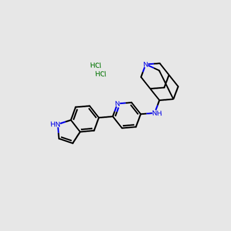 Cl.Cl.c1cc2cc(-c3ccc(NC4C5CC6CC4CN(C6)C5)cn3)ccc2[nH]1